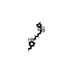 C=Cc1ccc(NCCCCCC(=O)OC2(CC)CCCC2)cc1